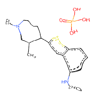 CCN1CCC(c2cc3c(NC=O)cccc3s2)C(C)C1.O=P(O)(O)O